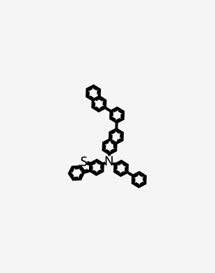 c1ccc(-c2ccc(N(c3ccc4cc(-c5cccc(-c6ccc7ccccc7c6)c5)ccc4c3)c3ccc4c(c3)sc3ccccc34)cc2)cc1